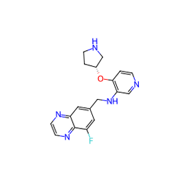 Fc1cc(CNc2cnccc2O[C@@H]2CCNC2)cc2nccnc12